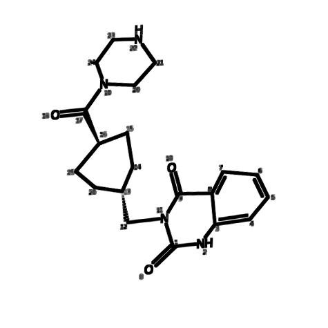 O=c1[nH]c2ccccc2c(=O)n1C[C@H]1CC[C@H](C(=O)N2CCNCC2)CC1